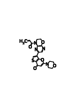 C=CC(=O)N1CCOc2ncc(-c3csc4c(=O)cc(N5CCOCC5)oc34)nc21